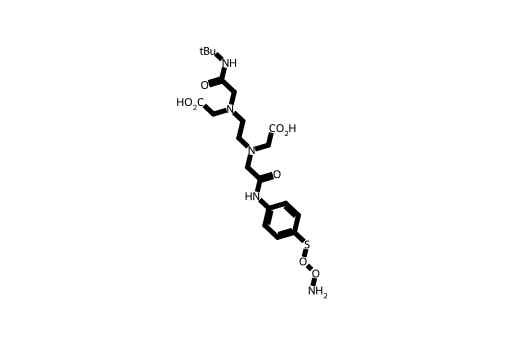 CC(C)(C)NC(=O)CN(CCN(CC(=O)O)CC(=O)Nc1ccc(SOON)cc1)CC(=O)O